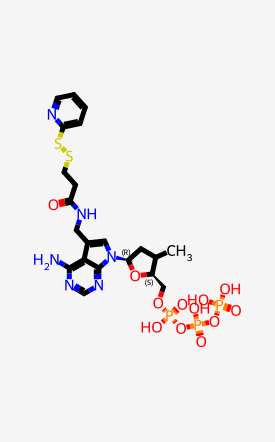 CC1C[C@H](n2cc(CNC(=O)CCSSc3ccccn3)c3c(N)ncnc32)O[C@@H]1COP(=O)(O)OP(=O)(O)OP(=O)(O)O